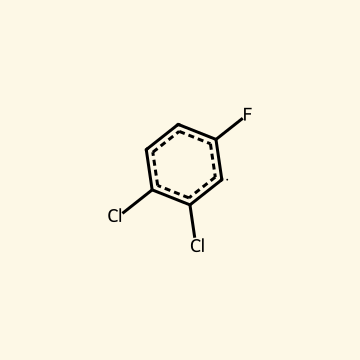 Fc1[c]c(Cl)c(Cl)cc1